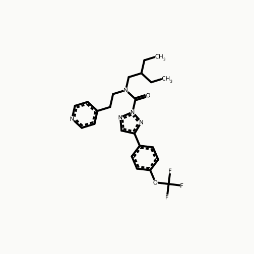 CCC(CC)CN(CCc1ccncc1)C(=O)n1ncc(-c2ccc(OC(F)(F)F)cc2)n1